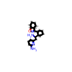 Nc1cccc(CC(N)c2ccccc2-c2noc3ccccc23)n1